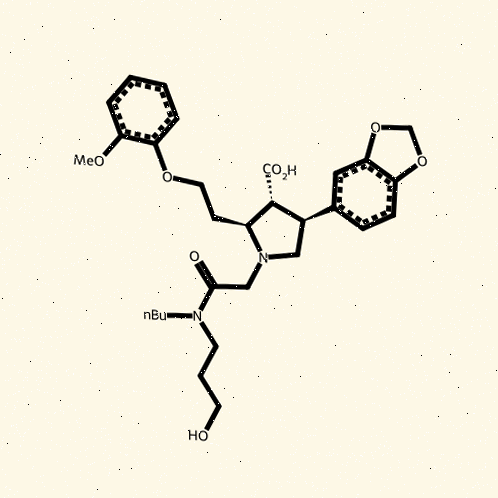 CCCCN(CCCO)C(=O)CN1C[C@H](c2ccc3c(c2)OCO3)[C@@H](C(=O)O)[C@@H]1CCOc1ccccc1OC